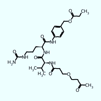 CCC(=O)OCc1ccc(NC(=O)[C@H](CCCNC(N)=O)NC(=O)[C@@H](NC(=O)CCOCCC(C)=O)C(C)C)cc1